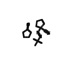 CC(C)(C)/N=N/C1(C#N)CCCC1.O=C1CCCC1